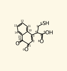 O=C1C=C(C(CS)C(=O)O)c2ccccc2C1=O